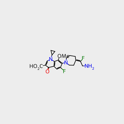 COc1c(N2CCCC(=C(F)CN)CC2)c(F)cc2c(=O)c(C(=O)O)cn(C3CC3)c12